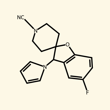 N#CN1CCC2(CC1)Oc1ccc(F)cc1C2n1cccc1